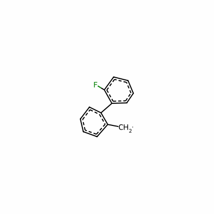 [CH2]c1ccccc1-c1ccccc1F